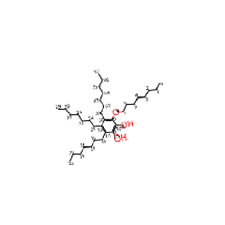 CCCCCCCCOc1c(O)c(O)c(CCCCCCC)c(CCCCCCC)c1CCCCCCC